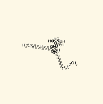 CCCC/C=C\C/C=C\CCCCCCCCCC(=O)N[C@@H](COC1OC(CO)C(O)C(O)C1O)[C@H](O)[C@H](O)CCCCCCCCCCCCCC